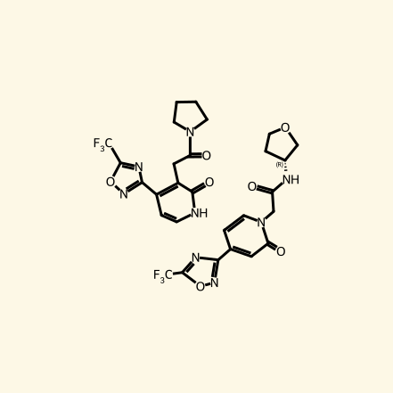 O=C(Cc1c(-c2noc(C(F)(F)F)n2)cc[nH]c1=O)N1CCCC1.O=C(Cn1ccc(-c2noc(C(F)(F)F)n2)cc1=O)N[C@@H]1CCOC1